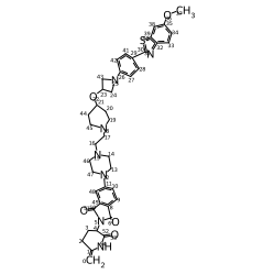 C=C1CCC(N2C(=O)c3ccc(N4CCN(CCN5CCC(OC6CN(c7ccc(-c8nc9ccc(OC)cc9s8)cc7)C6)CC5)CC4)cc3C2=O)C(=O)N1